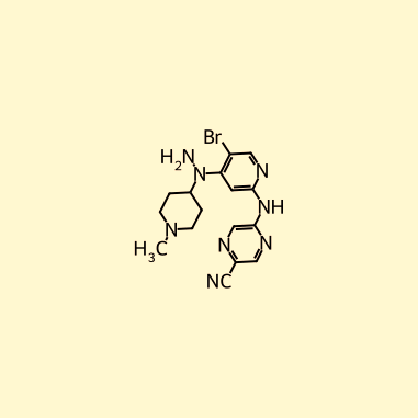 CN1CCC(N(N)c2cc(Nc3cnc(C#N)cn3)ncc2Br)CC1